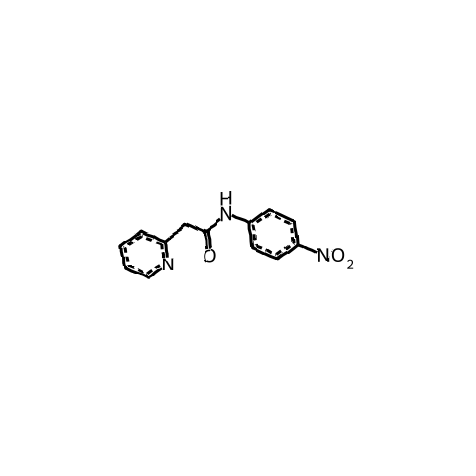 O=C(Cc1ccccn1)Nc1ccc([N+](=O)[O-])cc1